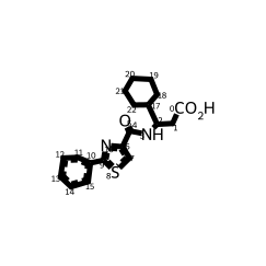 O=C(O)CC(NC(=O)c1csc(-c2ccccc2)n1)C1CCCCC1